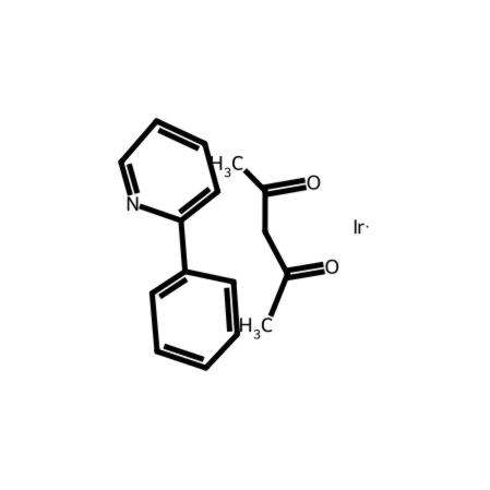 CC(=O)CC(C)=O.[Ir].c1ccc(-c2ccccn2)cc1